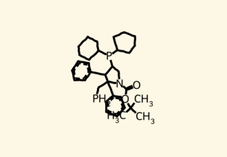 CC(C)(C)OC(=O)N1CC(P(C2CCCCC2)C2CCCCC2)C(c2ccccc2)C1(CP)c1ccccc1